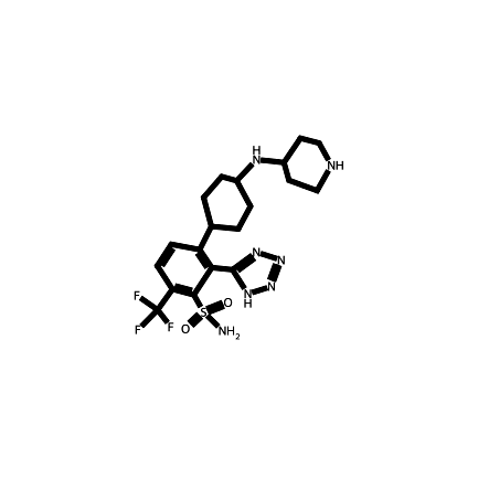 NS(=O)(=O)c1c(C(F)(F)F)ccc(C2CCC(NC3CCNCC3)CC2)c1-c1nnn[nH]1